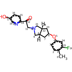 Cc1ccc(O[C@H]2C[C@@H]3CN(CC(=O)c4ccc(O)cn4)C[C@@H]3C2)cc1F